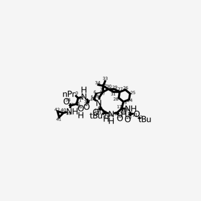 CCCC(NC(=O)[C@@H]1C[C@]23CN1C(=O)[C@H](C(C)(C)C)NC(=O)[C@@H](NC(=O)OC(C)(C)C)C1CCCC4(C1)CC2(C4)C3(C)C)C(O)C(=O)NC1CC1